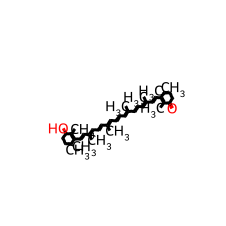 CC1=C(/C=C/C(C)=C/C=C/C(C)=C/C=C/C=C(C)/C=C/C=C(C)/C=C/C2=C(C)C(O)CCC2(C)C)C(C)(C)CCC1=O